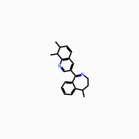 CC1CCN=C(c2cnc3c(c2)C=CC(C)C3C)c2ccccc21